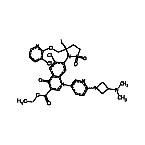 CCOC(=O)c1cn(-c2ccc(N3CC(N(C)C)C3)nc2)c2cc(N3C(I)(COc4ncccc4Cl)CCS3(=O)=O)c(Cl)cc2c1=O